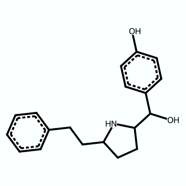 Oc1ccc(C(O)C2CCC(CCc3ccccc3)N2)cc1